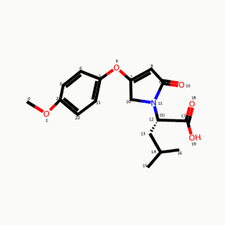 COc1ccc(OC2=CC(=O)N([C@@H](CC(C)C)C(=O)O)C2)cc1